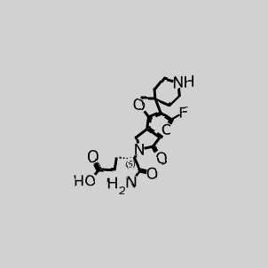 NC(=O)[C@H](CCC(=O)O)N1Cc2c(cc(F)c3c2OCC32CCNCC2)C1=O